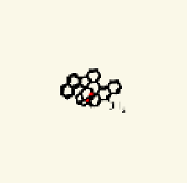 Bc1c2ccccc2c(-c2cccc3c2C2(c4c-3ccc3ccccc43)C3CC4CC(C3)CC2C4)c2ccccc12